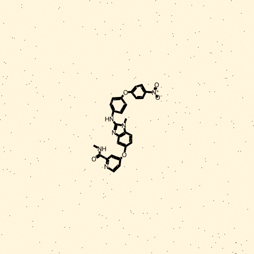 CNC(=O)c1cc(Oc2ccc3c(c2)nc(Nc2ccc(Oc4ccc([N+](=O)[O-])cc4)cc2)n3C)ccn1